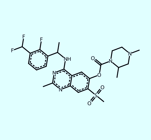 Cc1nc(NC(C)c2cccc(C(F)F)c2F)c2cc(OC(=O)N3CCN(C)CC3C)c(S(C)(=O)=O)cc2n1